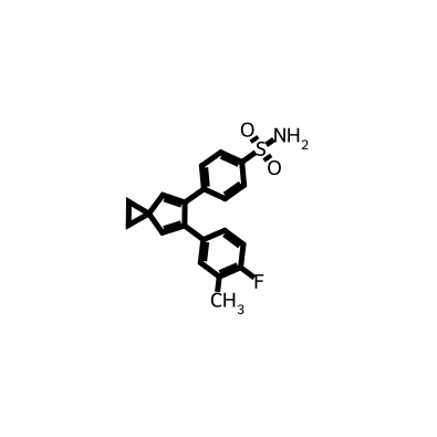 Cc1cc(C2=CC3(C=C2c2ccc(S(N)(=O)=O)cc2)CC3)ccc1F